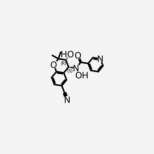 CC1(C)Oc2ccc(C#N)cc2[C@H](N(O)C(=O)c2cccnc2)[C@H]1O